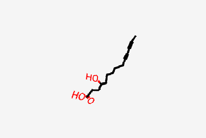 CC#CC#CCCCCCC(O)CCC(=O)O